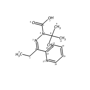 CC/C(=N/N(C(=O)O)C(C)(C)C)c1ccccn1